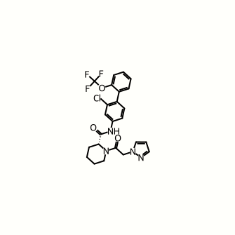 O=C(Nc1ccc(-c2ccccc2OC(F)(F)F)c(Cl)c1)[C@H]1CCCCN1C(=O)Cn1cccn1